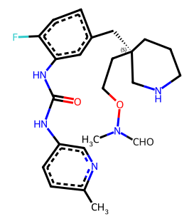 Cc1ccc(NC(=O)Nc2cc(C[C@]3(CCON(C)C=O)CCCNC3)ccc2F)cn1